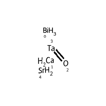 [BiH3].[CaH2].[O]=[Ta].[SrH2]